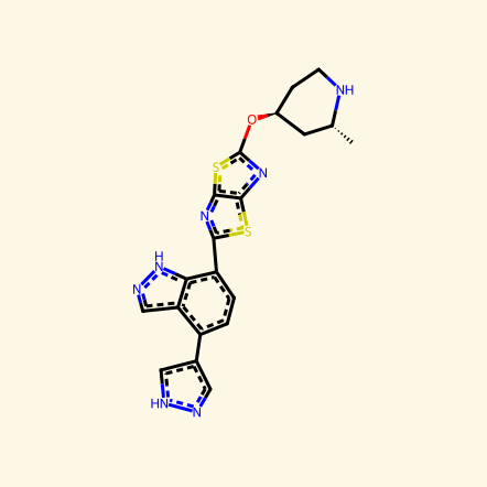 C[C@@H]1C[C@@H](Oc2nc3sc(-c4ccc(-c5cn[nH]c5)c5cn[nH]c45)nc3s2)CCN1